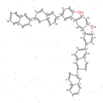 c1ccc2cc(-c3ccc4cc(-c5ccc6oc7cc8oc9ccc(-c%10ccc%11cc(-c%12ccc%13ccccc%13c%12)ccc%11c%10)cc9c8cc7c6c5)ccc4c3)ccc2c1